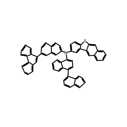 c1ccc2cc3c(cc2c1)sc1ccc(N(c2ccc4ccc(-c5cc6ccccc6c6ccccc56)cc4c2)c2ccc(-c4cccc5ccccc45)c4ccccc24)cc13